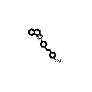 CCOC(=O)c1ccc(/C=C/c2ccc(-n3nc4ccc5ccccc5c4n3)cc2)cc1